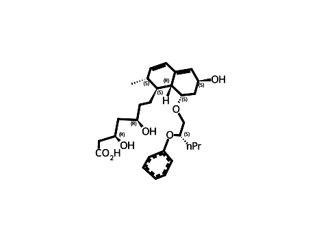 CCC[C@@H](CO[C@H]1C[C@H](O)C=C2C=C[C@@H](C)[C@H](CC[C@@H](O)C[C@@H](O)CC(=O)O)[C@H]21)Oc1ccccc1